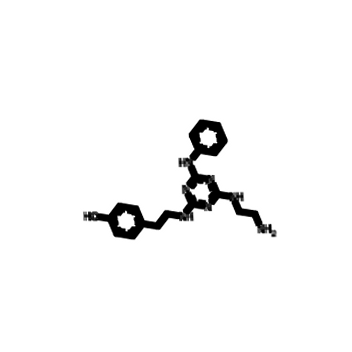 NCCNc1nc(NCCc2ccc(O)cc2)nc(Nc2ccccc2)n1